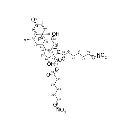 C[C@]12C=CC(=O)C=C1[C@@H](F)CC1C3C[C@@H](O)[C@](OC(=O)CCCCCO[N+](=O)[O-])(C(=O)COC(=O)CCCCCO[N+](=O)[O-])[C@@]3(C)C[C@H](O)[C@@]12F